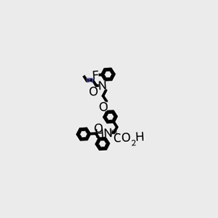 C/C=C/C(=O)N(CCCOc1ccc(C[C@H](Nc2ccccc2C(=O)c2ccccc2)C(=O)O)cc1)c1ccccc1F